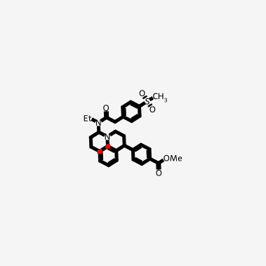 CCN(C(=O)Cc1ccc(S(C)(=O)=O)cc1)C1CCCCN1CCC(c1ccccc1)c1ccc(C(=O)OC)cc1